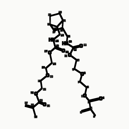 C=C(C)C(=O)OCCOCCOC(=O)NCC1CC2CCC1C2CNC(=O)OCCOCCOC(=O)C(=C)C